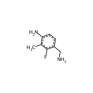 Cc1c(N)ccc(CN)c1F